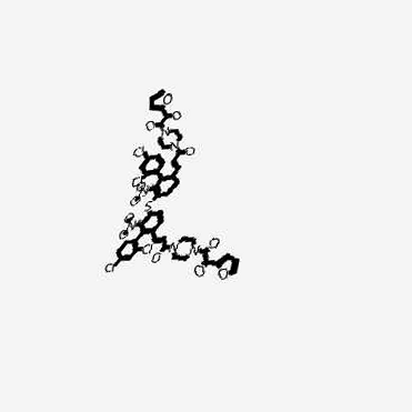 O=C(C(=O)N1CCN(C(=O)/C=C/c2ccc(Sc3ccc(/C=C/C(=O)N4CCN(C(=O)C(=O)c5ccco5)CC4)c(-c4ccc(Cl)cc4Cl)c3[N+](=O)[O-])c([N+](=O)[O-])c2-c2ccc(Cl)cc2Cl)CC1)c1ccco1